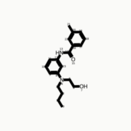 CCCCN(CCO)c1cccc(NC(=O)c2cccc(C)c2)c1